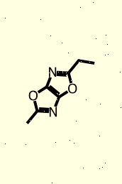 CCc1nc2oc(C)nc2o1